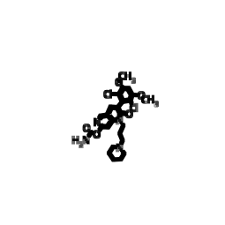 COc1cc(OC)c(Cl)c(-c2cc3cnc(OC(N)=O)cc3n(CCCN3CCCCC3)c2=O)c1Cl